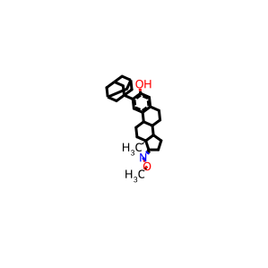 CO/N=C1\CCC2C3CCc4cc(O)c(C56CC7CC(CC(C7)C5)C6)cc4C3CC[C@]12C